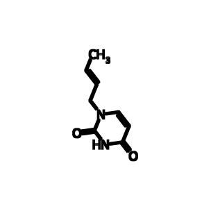 C/C=C/Cn1ccc(=O)[nH]c1=O